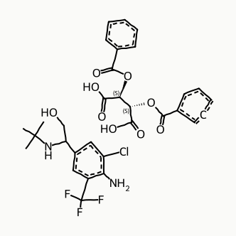 CC(C)(C)NC(CO)c1cc(Cl)c(N)c(C(F)(F)F)c1.O=C(O[C@H](C(=O)O)[C@H](OC(=O)c1ccccc1)C(=O)O)c1ccccc1